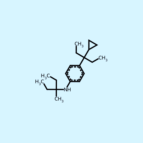 CCC(C)(CC)Nc1ccc(C(CC)(CC)C2CC2)cc1